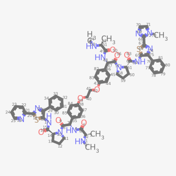 CN[C@@H](C)C(=O)N[C@H](C(=O)N1CCC[C@H]1C(=O)Nc1sc(-c2ccccn2)nc1-c1ccccc1)c1ccc(OCCOc2ccc([C@H](NC(=O)[C@H](C)NC)C(=O)N3CCC[C@H]3C(=O)Nc3sc(-c4nccn4C)nc3-c3ccccc3)cc2)cc1